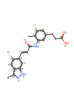 Cc1c(F)cc(CCC(=O)O)cc1NC(=O)C=Cc1cc2[nH]nc(C)c2cc1F